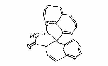 O=C(O)C1C=Cc2ccccc2C1(C(=O)O)c1cccc2ccccc12